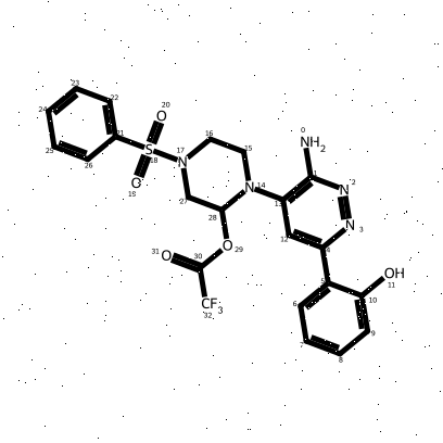 Nc1nnc(-c2ccccc2O)cc1N1CCN(S(=O)(=O)c2ccccc2)CC1OC(=O)C(F)(F)F